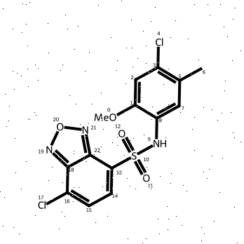 COc1cc(Cl)c(C)cc1NS(=O)(=O)c1ccc(Cl)c2nonc12